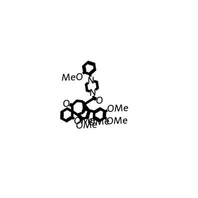 COC1=CC=CCC12C(=O)CC1c3cc(OC)c(OC)c2c3C(c2ccc(OC)c(OC)c2)C1C(=O)N1CCN(c2ccccc2OC)CC1